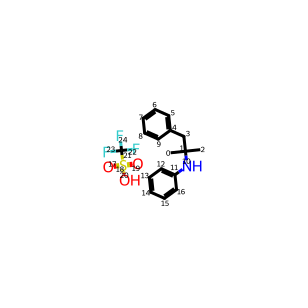 CC(C)(Cc1ccccc1)Nc1ccccc1.O=S(=O)(O)C(F)(F)F